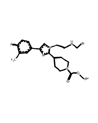 CC(C)CNCCn1cc(-c2ccc(F)c(C(F)(F)F)c2)nc1C1CCN(C(=O)OC(C)(C)C)CC1